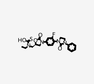 CCN(C[C@@H]1CN(c2ccc(N3CCN(c4ccccc4)C3=O)c(F)c2)C(=O)O1)C(O)=S